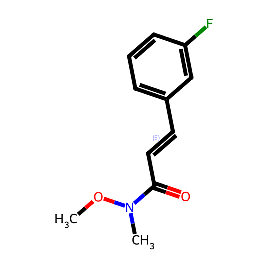 CON(C)C(=O)/C=C/c1cccc(F)c1